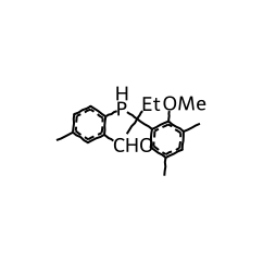 CCC(C)(Pc1ccc(C)cc1C=O)c1cc(C)cc(C)c1OC